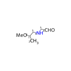 COC(C)CNCC=O